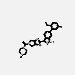 C=C(N1CCN(C)CC1)N1Cc2nc(-c3n[nH]c4cc(-c5cc(F)ccc5CC)ccc34)[nH]c2C1